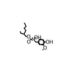 CCCCC(CC)COC(=O)N(O)Cc1ccc(O)c(OC)c1